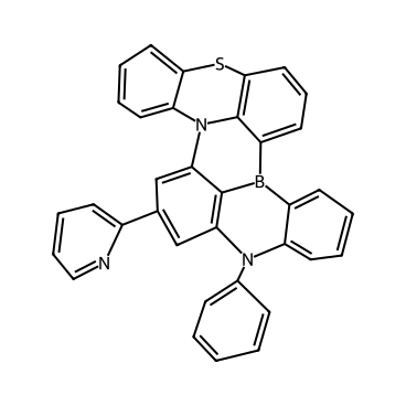 c1ccc(N2c3ccccc3B3c4cccc5c4N(c4ccccc4S5)c4cc(-c5ccccn5)cc2c43)cc1